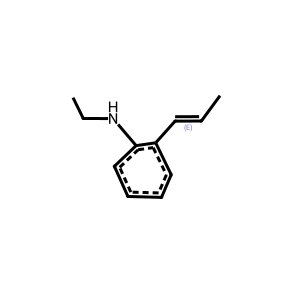 C/C=C/c1ccccc1NCC